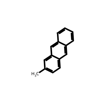 Cc1ccc2cc3ccc[c]c3cc2c1